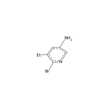 CCc1cc(N)cnc1Br